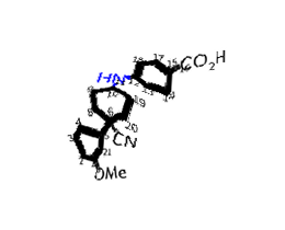 COc1cccc([C@]2(C#N)CC[C@@H](Nc3ccc(C(=O)O)cc3)CC2)c1